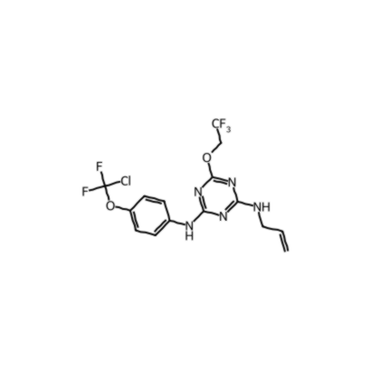 C=CCNc1nc(Nc2ccc(OC(F)(F)Cl)cc2)nc(OCC(F)(F)F)n1